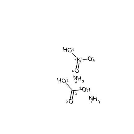 N.N.O=C(O)O.O=[N+]([O-])O